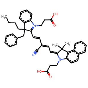 CCCCC1(Cc2ccccc2)C(/C=C/C(C#N)=C/C=C2/N(CCC(=O)O)c3ccc4ccccc4c3C2(C)C)=[N+](CCC(=O)O)c2ccccc21